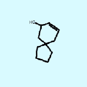 OC1C=CCC2(CCCC2)C1